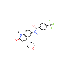 CCn1c(=O)cc(N2CCOCC2)c2cc(N(C)C(=O)c3ccc(C(F)(F)F)cc3)ccc21